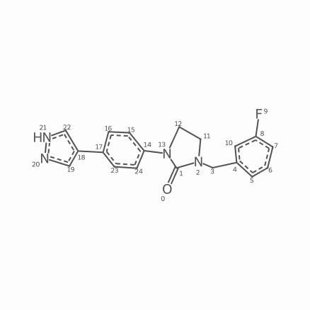 O=C1N(Cc2cccc(F)c2)CCN1c1ccc(-c2cn[nH]c2)cc1